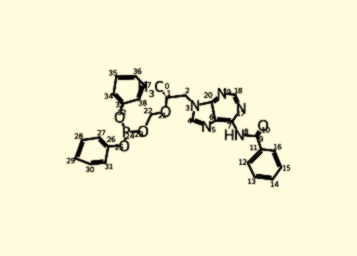 C[C@H](Cn1cnc2c(NC(=O)c3ccccc3)ncnc21)OCOP(Oc1ccccc1)Oc1ccccc1